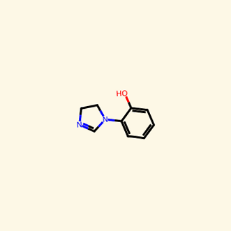 Oc1ccccc1N1C=NCC1